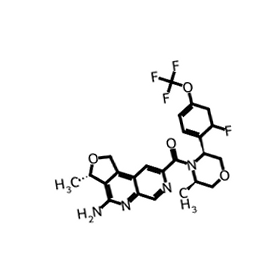 C[C@@H]1OCc2c1c(N)nc1cnc(C(=O)N3[C@H](C)COC[C@@H]3C3=CC=C(OC(F)(F)F)CC3F)cc21